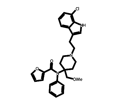 COCC1(N(C(=O)c2ccco2)c2ccccc2)CCN(CCc2c[nH]c3c(Cl)cccc23)CC1